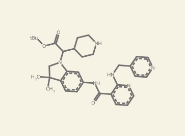 CC(C)(C)OC(=O)C(C1CCNCC1)N1CC(C)(C)c2ccc(NC(=O)c3cccnc3NCc3ccncc3)cc21